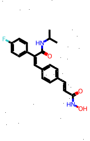 CC(C)NC(=O)/C(=C\c1ccc(/C=C/C(=O)NO)cc1)c1ccc(F)cc1